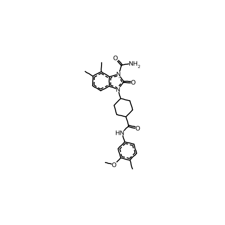 COc1cc(NC(=O)C2CCC(n3c(=O)n(C(N)=O)c4c(C)c(C)ccc43)CC2)ccc1C